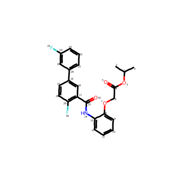 CC(C)OC(=O)COc1ccccc1NC(=O)c1cc(-c2cccc(F)c2)ccc1F